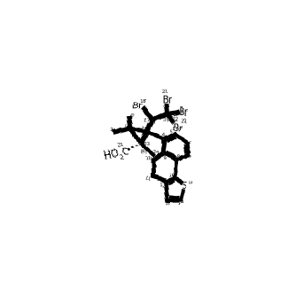 CC1(C)C(c2cccc3c2CCc2ccsc2-3)(C(Br)C(Br)(Br)Br)[C@]1(C)C(=O)O